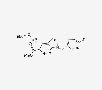 CCCCO/C=C/c1c(C(=O)OC)ncc2c1ccn2Cc1ccc(F)cc1